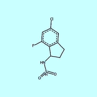 O=[SH](=O)NC1CCc2cc(Cl)cc(F)c21